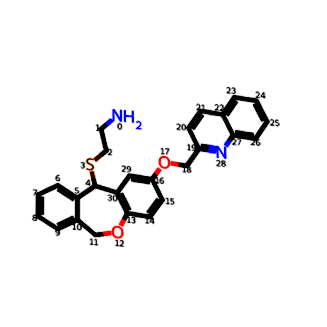 NCCSC1c2ccccc2COc2ccc(OCc3ccc4ccccc4n3)cc21